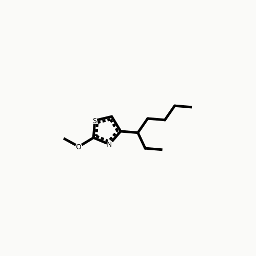 CCCCC(CC)c1csc(OC)n1